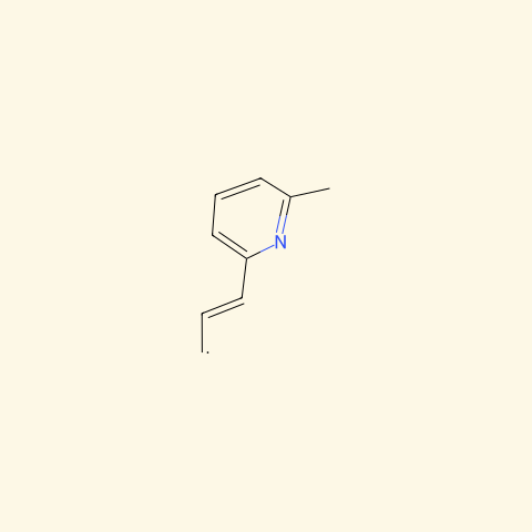 [CH2]C=Cc1cccc(C)n1